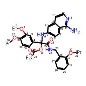 CCOc1cc(C(Nc2ccc3c(N)nccc3c2)(OC(=O)C(F)(F)F)C(=O)NCc2ccccc2OC(C)C)ccc1OC(C)C